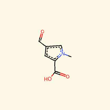 Cn1cc(C=O)cc1C(=O)O